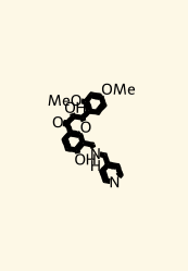 COc1ccc(C2Oc3c(ccc(O)c3CNCc3ccncc3)C(=O)C2O)c(OC)c1